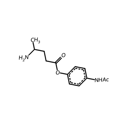 CC(=O)Nc1ccc(OC(=O)CCC(C)N)cc1